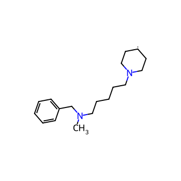 CN(CCCCCN1CC[CH]CC1)Cc1ccccc1